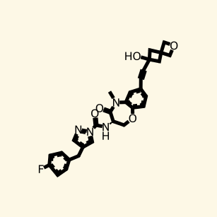 CN1C(=O)[C@@H](NC(=O)n2cc(Cc3ccc(F)cc3)cn2)COc2ccc(C#CC3(O)CC4(COC4)C3)cc21